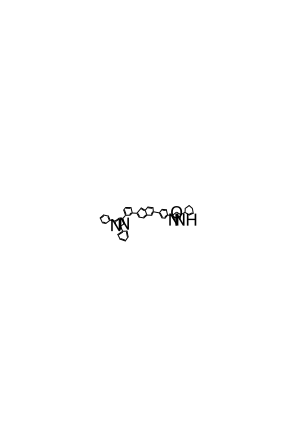 C1=CC(C2NN=C(c3ccc(-c4ccc5cc(-c6cccc(-c7cc(-c8ccccc8)nc(-c8ccccc8)n7)c6)ccc5c4)cc3)O2)CCC1